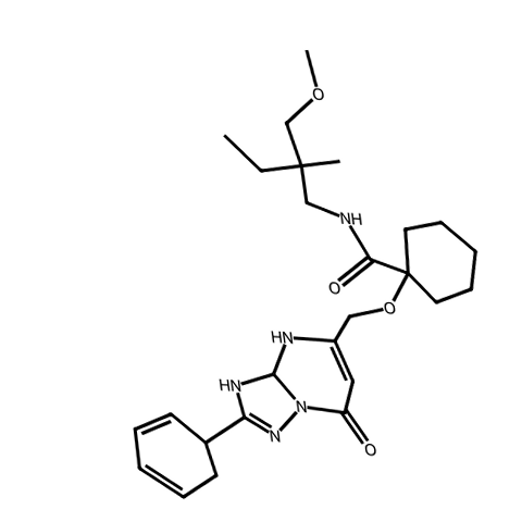 CCC(C)(CNC(=O)C1(OCC2=CC(=O)N3N=C(C4C=CC=CC4)NC3N2)CCCCC1)COC